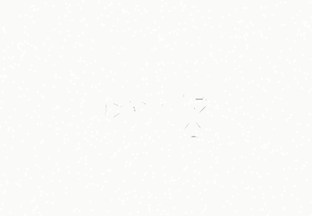 CC1CC(C)C(C(O)CC2c3ccccc3-c3cncn32)PCN(C(=O)Nc2ccccc2)C1